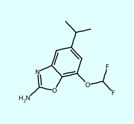 CC(C)c1cc(OC(F)F)c2oc(N)nc2c1